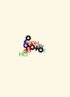 CCCC(C)(C1=CC(O)(O)C2=C3CN(Cc4ccccc4)CCC3C(=O)OC2=C1)c1ccc(F)cc1.Cl